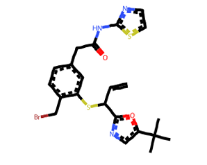 C=CC(Sc1cc(CC(=O)Nc2nccs2)ccc1CBr)c1ncc(C(C)(C)C)o1